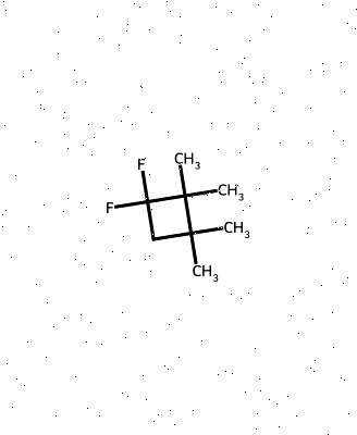 CC1(C)CC(F)(F)C1(C)C